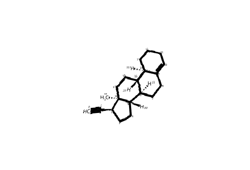 C#C[C@@H]1CC[C@H]2[C@@H]3CCC4=CCCC[C@@H]4[C@H]3CC[C@]12C